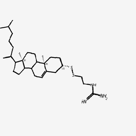 CC(C)CCCC(C)C1CCC2C3CC=C4C[C@@H](SSCCNC(=N)N)CC[C@]4(C)C3CC[C@]12C